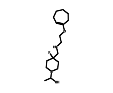 CC(O)N1CCC(F)(CNCCOC2=CCCCCC2)CC1